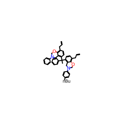 C=CCc1ccc(C(C)(c2ccccc2)c2ccc(CC=C)c3c2CN(c2ccc(CCCC)cc2)CO3)c2c1OCN(c1ccccc1)C2